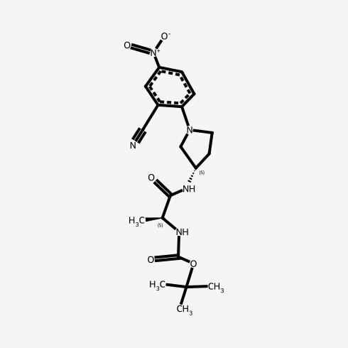 C[C@H](NC(=O)OC(C)(C)C)C(=O)N[C@H]1CCN(c2ccc([N+](=O)[O-])cc2C#N)C1